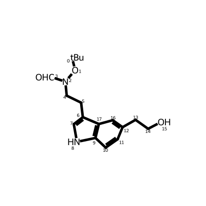 CC(C)(C)ON(C=O)CCc1c[nH]c2ccc(CCO)cc12